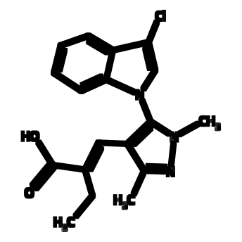 CC/C(=C\c1c(C)nn(C)c1-n1cc(Cl)c2ccccc21)C(=O)O